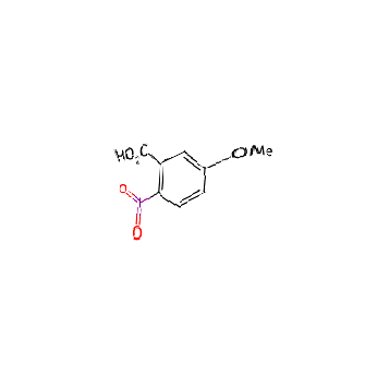 COc1ccc(I(=O)=O)c(C(=O)O)c1